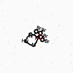 Brc1ccc(-c2c(-c3ccc(Br)cc3)c3c(-c4ccc(Br)cc4)c4nc(cc5ccc(cc6nc(cc2n3-c2ccc(Br)cc2)C=C6)[nH]5)C=C4)cc1